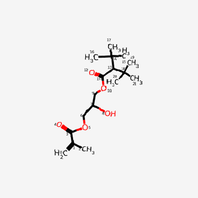 C=C(C)C(=O)OCC(O)COC(=O)C(C(C)(C)C)C(C)(C)C